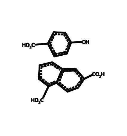 O=C(O)c1ccc(O)cc1.O=C(O)c1ccc2c(C(=O)O)cccc2c1